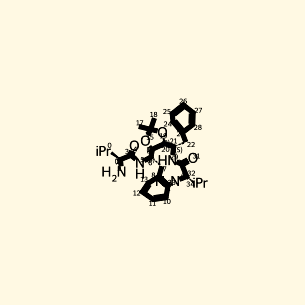 CC(C)[C@H](N)C(=O)N[C@@H](Cc1ccccc1)[C@H]1OC(C)(C)O[C@@H]1[C@H](Cc1ccccc1)NC(=O)[C@@H](N)C(C)C